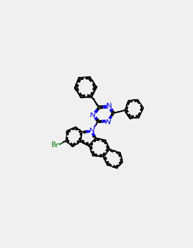 Brc1ccc2c(c1)c1cc3ccccc3cc1n2-c1nc(-c2ccccc2)nc(-c2ccccc2)n1